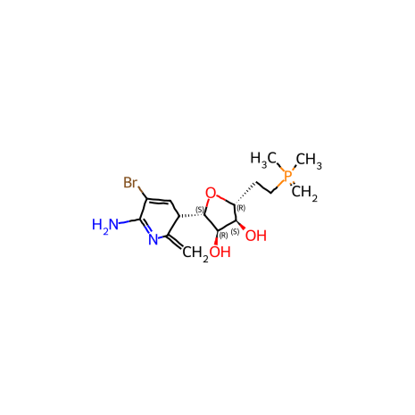 C=C1N=C(N)C(Br)=CC1[C@@H]1O[C@H](CCP(=C)(C)C)[C@@H](O)[C@H]1O